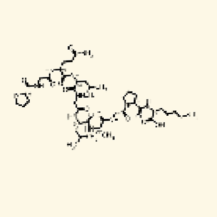 CC(C)C[C@H](NC(=O)CNC(=O)[C@H](CC(C)C)NC(=O)[C@H](CCC(N)=O)NC(=O)CNC(=O)[C@@H]1CCCN1)C(=O)N[C@@H](C)C(=O)NCC(=O)N1CCC[C@H]1C(=O)N[C@@H](CCCCN)C(=O)O